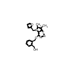 Cc1c(C)n(Cc2ccco2)c2c(OCc3ccccc3CO)nncc12